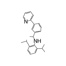 CC(C)c1cccc(C(C)C)c1NC(C)c1cccc(-c2ccccn2)c1